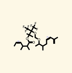 C=C(C)/C=C\CC(C)C(C)OCOC(C(F)(F)F)(C(F)(F)F)C(C)(C)OC(=O)C(C)C(C)/C=C\C